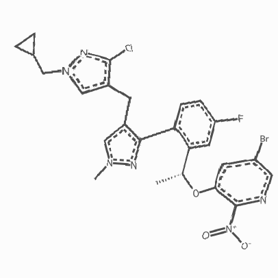 C[C@@H](Oc1cc(Br)cnc1[N+](=O)[O-])c1cc(F)ccc1-c1nn(C)cc1Cc1cn(CC2CC2)nc1Cl